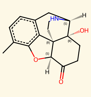 Cc1ccc2c3c1O[C@@H]1C(=O)CC[C@]4(O)[C@H](C2)NCC[C@@]314